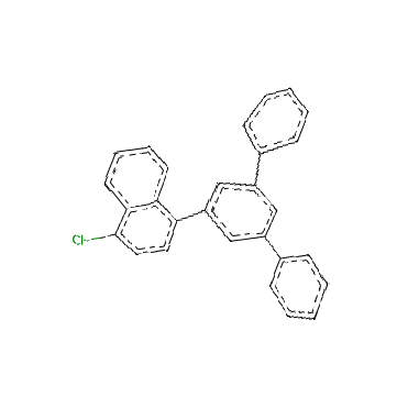 Clc1ccc(-c2cc(-c3ccccc3)cc(-c3ccccc3)c2)c2ccccc12